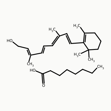 CC(C=CC1=C(C)CCCC1(C)C)=CC=CC(C)=CCO.CCCCCCCC(=O)O